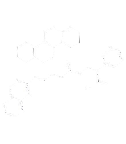 C1=CC2=C(CC1)CCc1c2ccc2ccccc12.O=C(CCCCc1ccc2cccnc2n1)NCC(C(=O)O)c1cccnc1